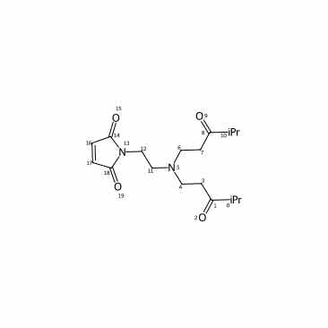 CC(C)C(=O)CCN(CCC(=O)C(C)C)CCN1C(=O)C=CC1=O